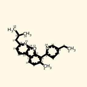 CCc1ccc(-c2c(C)ccc3c2oc2nc(CC(C)C)ccc23)nc1